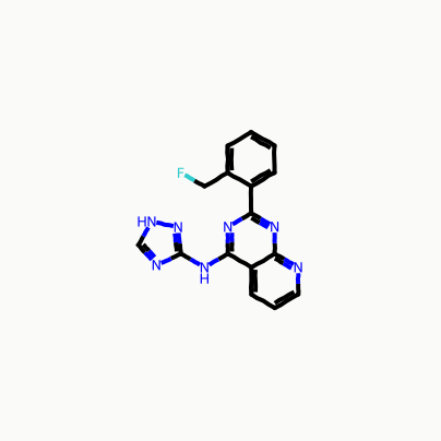 FCc1ccccc1-c1nc(Nc2nc[nH]n2)c2cccnc2n1